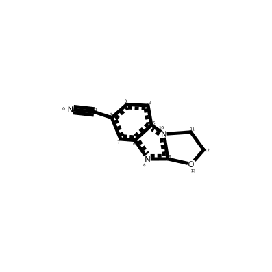 N#Cc1ccc2c(c1)nc1n2CCO1